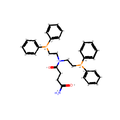 NC(=O)CCC(=O)N(CCP(c1ccccc1)c1ccccc1)CCP(c1ccccc1)c1ccccc1